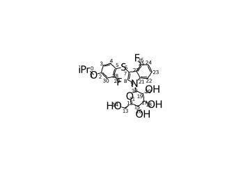 CC(C)Oc1ccc(Sc2cn([C@@H]3O[C@H](CO)[C@@H](O)[C@H](O)[C@H]3O)c3cccc(F)c23)c(F)c1